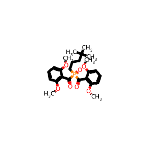 COc1cccc(OC)c1C(=O)P(=O)(CCCC(C)(C)C)C(=O)c1c(OC)cccc1OC